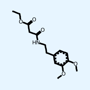 CCOC(=O)CC(=O)NCCc1ccc(OC)c(OC)c1